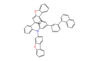 c1cc(-c2cccc(N(c3ccc4c(c3)oc3ccccc34)c3ccccc3-c3ccc4c(c3)oc3ccccc34)c2)cc(-c2cccc3ccccc23)c1